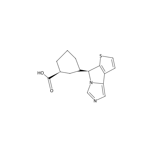 O=C(O)[C@H]1CCCC([C@H]2c3sccc3-c3cncn32)C1